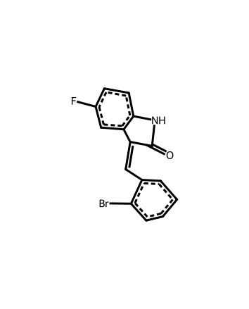 O=C1Nc2ccc(F)cc2/C1=C/c1ccccc1Br